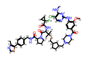 CNc1nc(Nc2ccc(C(=O)N3CCN(CC4CCC(CSC(C)(C)C(NC(=O)C5(F)CC5)C(=O)N5CCCC5C(=O)NCc5ccc(-c6scnc6C)cc5)C4)CC3)cc2OC)ncc1Cl